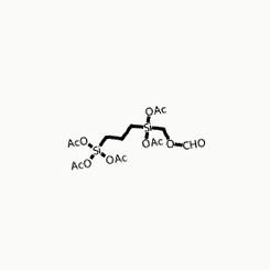 CC(=O)O[Si](CCC[Si](OC(C)=O)(OC(C)=O)OC(C)=O)(COC=O)OC(C)=O